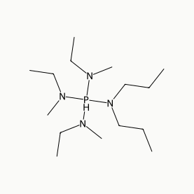 CCCN(CCC)[PH](N(C)CC)(N(C)CC)N(C)CC